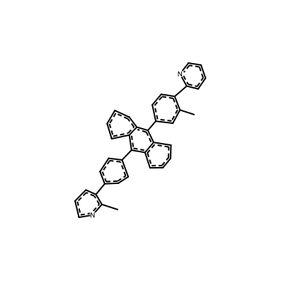 Cc1cc(-c2c3ccccc3c(-c3ccc(-c4cccnc4C)cc3)c3ccccc23)ccc1-c1ccccn1